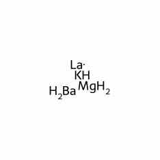 [BaH2].[KH].[La].[MgH2]